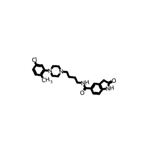 Cc1ccc(Cl)cc1N1CCN(CCCCNC(=O)c2ccc3c(c2)CC(=O)N3)CC1